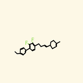 CCc1ccc(-c2ccc(CC/C=C/C3CC=C(C)CC3)c(F)c2F)cc1